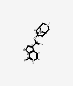 CN1C2COCC1CC(OC(=O)c1c[nH]c3c(F)nccc13)C2